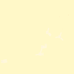 CC1CC/C(=N\Nc2ccc(C#N)cc2)c2ncc(C(=O)O)c(=O)n21